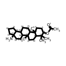 CC(=O)OC1CCC2(C)C(CCC3(C)C4CCC5(N)CCCC5C4CCC32)C1(C)C